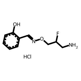 Cl.NCC(F)CON=Cc1ccccc1O